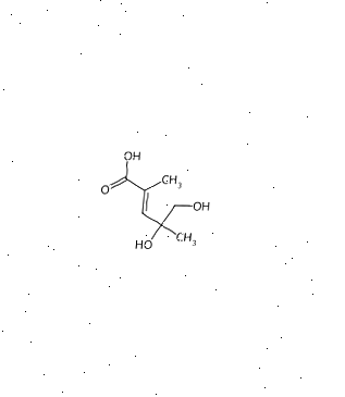 C/C(=C\C(C)(O)CO)C(=O)O